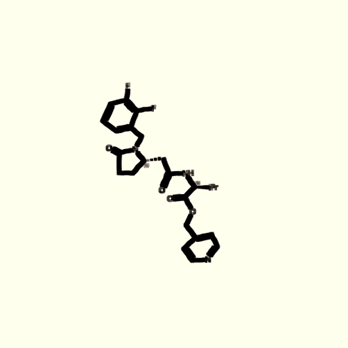 CC(C)[C@H](NC(=O)C[C@@H]1CCC(=O)N1Cc1cccc(F)c1F)C(=O)OCc1ccncc1